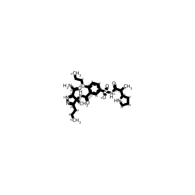 CCCOc1ccc(S(=O)(=O)NC(=O)C(C)C2CCCN2)cc1C(=O)NC1(C)C(CCC)=NN=C1C(N)=O